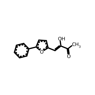 CC(=O)/C(O)=C/c1ccc(-c2ccccc2)o1